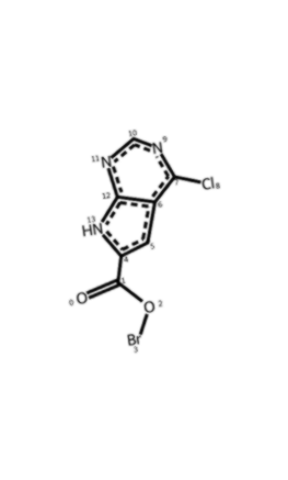 O=C(OBr)c1cc2c(Cl)ncnc2[nH]1